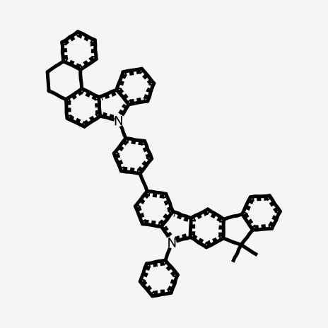 CC1(C)c2ccccc2-c2cc3c4cc(-c5ccc(-n6c7ccccc7c7c8c(ccc76)CCc6ccccc6-8)cc5)ccc4n(-c4ccccc4)c3cc21